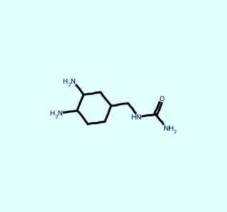 NC(=O)NCC1CCC(N)C(N)C1